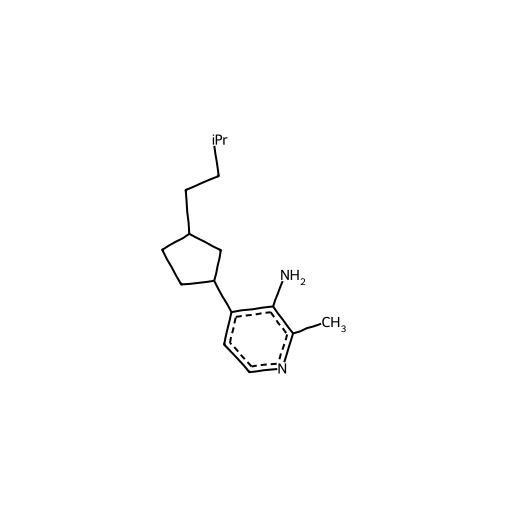 Cc1nccc(C2CCC(CCC(C)C)C2)c1N